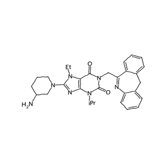 CCn1c(N2CCCC(N)C2)nc2c1c(=O)n(CC1=Nc3ccccc3Cc3ccccc31)c(=O)n2C(C)C